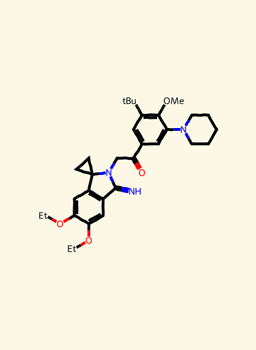 CCOc1cc2c(cc1OCC)C1(CC1)N(CC(=O)c1cc(N3CCCCC3)c(OC)c(C(C)(C)C)c1)C2=N